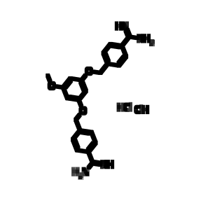 COc1cc(OCc2ccc(C(=N)N)cc2)cc(OCc2ccc(C(=N)N)cc2)c1.Cl.Cl